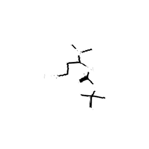 CN(C)C(CCN)NC(=O)OC(C)(C)C